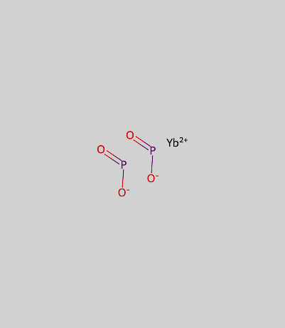 O=P[O-].O=P[O-].[Yb+2]